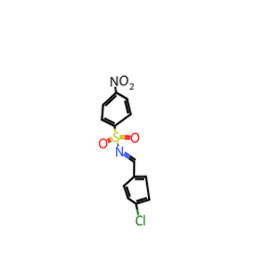 O=[N+]([O-])c1ccc(S(=O)(=O)N=Cc2ccc(Cl)cc2)cc1